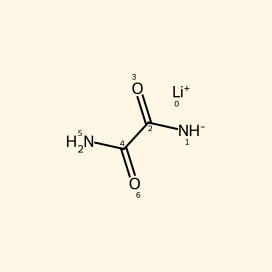 [Li+].[NH-]C(=O)C(N)=O